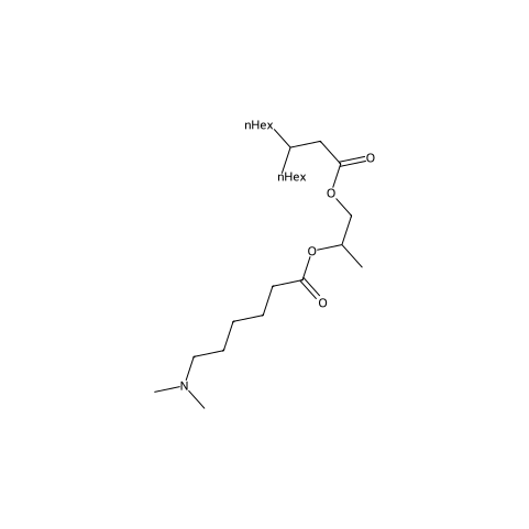 CCCCCCC(CCCCCC)CC(=O)OCC(C)OC(=O)CCCCCN(C)C